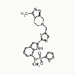 Cc1nnc2n1CCN(Cc1cnc(-c3cc4cccc(N(C)S(=O)(=O)c5cccs5)c4[nH]3)s1)C2